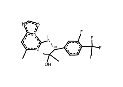 Cc1cc2ncnn2c(N[C@H](c2ccc(C(F)(F)F)c(F)c2)C(C)(C)O)n1